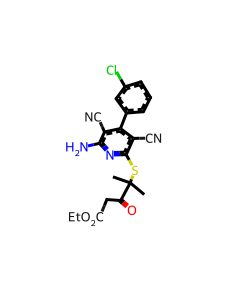 CCOC(=O)CC(=O)C(C)(C)Sc1nc(N)c(C#N)c(-c2cccc(Cl)c2)c1C#N